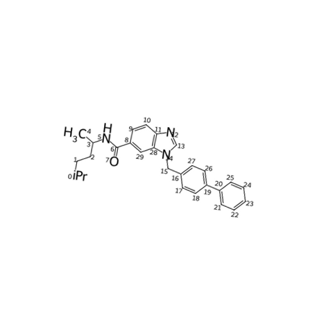 CC(C)CCC(C)NC(=O)c1ccc2ncn(Cc3ccc(-c4ccccc4)cc3)c2c1